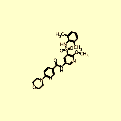 COc1ncc(NC(=O)c2ccc(N3CCOCC3)nc2)cc1S(=O)(=O)Nc1c(C)cccc1C